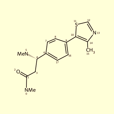 CNC(=O)C[C@H](NC)c1ccc(-c2scnc2C)cc1